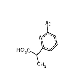 CC(=O)c1cccc(C(C)C(=O)O)n1